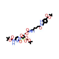 CC(C)(C)OC(=O)Nc1ccn([C@@H]2O[C@H](COC(=O)NCCCCCC(=O)NCc3ccc(C(=O)OC(C)(C)C)cc3)C(OC(=O)OC(C)(C)C)C2(F)F)c(=O)n1